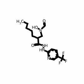 CCCCCC(CN(O)C=O)C(=O)NNc1ccc(C(F)(F)F)cn1